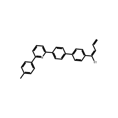 C=C/C=C(/CC)c1ccc(-c2ccc(-c3cccc(-c4ccc(C)cc4)n3)cc2)cc1